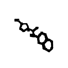 N#CN1CC[C@H](C(=O)Nc2cc3ccccc3cn2)C1